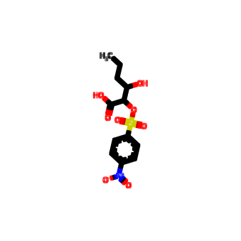 CCCC(O)C(OS(=O)(=O)c1ccc([N+](=O)[O-])cc1)C(=O)O